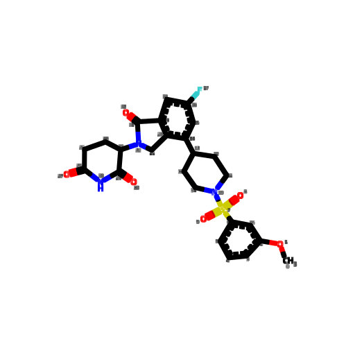 COc1cccc(S(=O)(=O)N2CCC(c3cc(F)cc4c3CN(C3CCC(=O)NC3=O)C4=O)CC2)c1